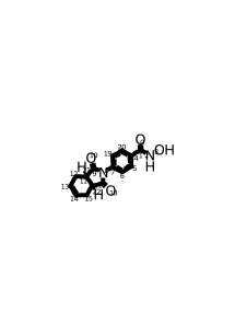 O=C(NO)c1ccc(N2C(=O)[C@H]3CC=CC[C@H]3C2=O)cc1